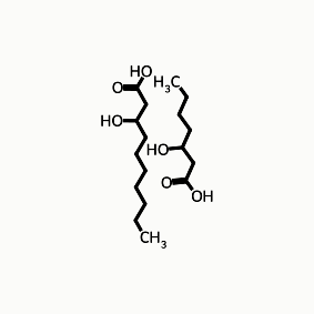 CCCCC(O)CC(=O)O.CCCCCCCC(O)CC(=O)O